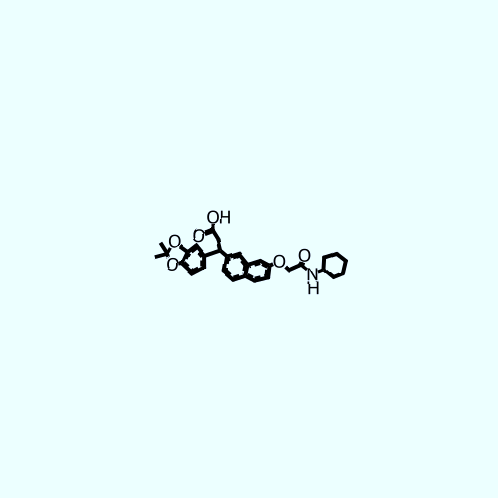 CC1(C)Oc2ccc(C(CC(=O)O)c3ccc4ccc(OCC(=O)NC5CCCCC5)cc4c3)cc2O1